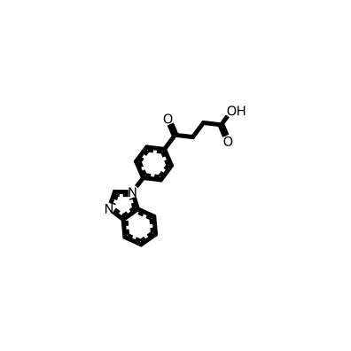 O=C(O)CCC(=O)c1ccc(-n2cnc3ccccc32)cc1